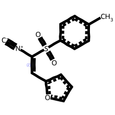 [C-]#[N+]/C(=C/c1ccco1)S(=O)(=O)c1ccc(C)cc1